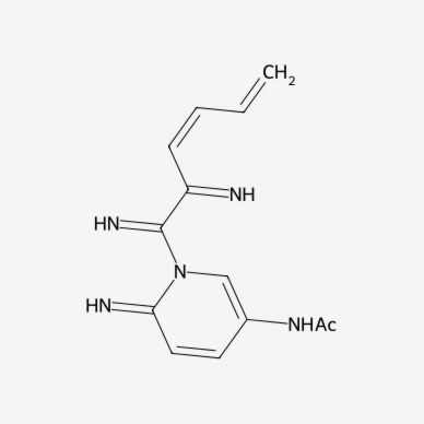 C=C/C=C\C(=N)C(=N)n1cc(NC(C)=O)ccc1=N